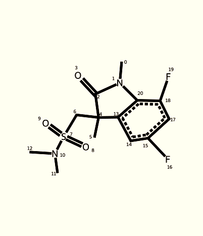 CN1C(=O)C(C)(CS(=O)(=O)N(C)C)c2cc(F)cc(F)c21